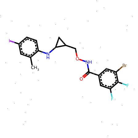 Cc1cc(I)ccc1NC1CC1CONC(=O)c1cc(F)c(F)c(Br)c1